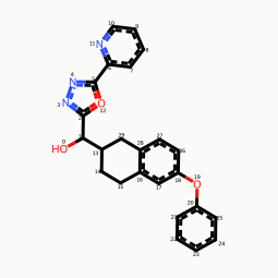 OC(c1nnc(-c2ccccn2)o1)C1CCc2cc(Oc3ccccc3)ccc2C1